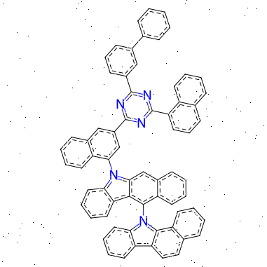 c1ccc(-c2cccc(-c3nc(-c4cc(-n5c6ccccc6c6c(-n7c8ccccc8c8ccc9ccccc9c87)c7ccccc7cc65)c5ccccc5c4)nc(-c4cccc5ccccc45)n3)c2)cc1